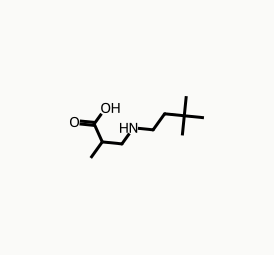 CC(CNCCC(C)(C)C)C(=O)O